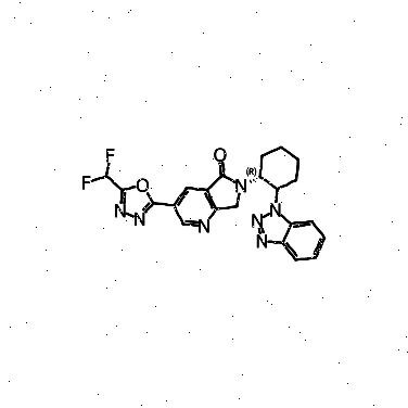 O=C1c2cc(-c3nnc(C(F)F)o3)cnc2CN1[C@@H]1CCCCC1n1nnc2ccccc21